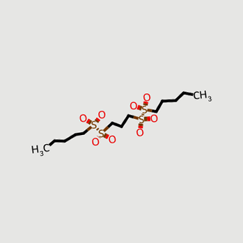 CCCCCS(=O)(=O)S(=O)(=O)CCCS(=O)(=O)S(=O)(=O)CCCCC